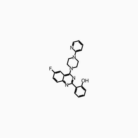 Oc1ccccc1-c1nc(N2CCN(c3ccccn3)CC2)c2cc(F)ccc2n1